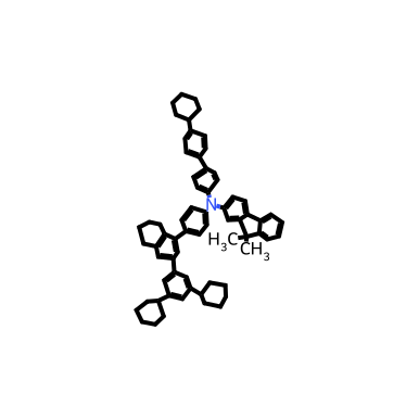 CC1(C)c2ccccc2-c2ccc(N(c3ccc(-c4ccc(C5CCCCC5)cc4)cc3)c3ccc(-c4cc(-c5cc(C6CCCCC6)cc(C6CCCCC6)c5)cc5c4CCCC5)cc3)cc21